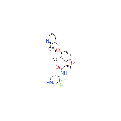 Cc1oc2ccc(OCc3cccnc3C(F)(F)F)c(C#N)c2c1C(=O)NC1CCNCC1(F)F